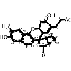 CC(=O)CCC1=CC2C(C=C1O)Oc1c(ccc3cc(O)c(C)cc13)C21OC(=O)c2ccccc21